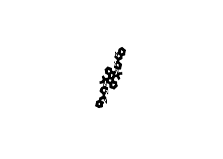 Cc1c(C)n(-c2ccc(-c3cnc4ccccc4c3)nc2)c2c3ccccc3c3c4c(C)c(C)n(-c5ccc(-c6cnc7ccccc7c6)nc5)c4c4ccccc4c3c12